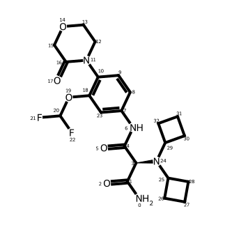 NC(=O)[C@@H](C(=O)Nc1ccc(N2CCOCC2=O)c(OC(F)F)c1)N(C1CCC1)C1CCC1